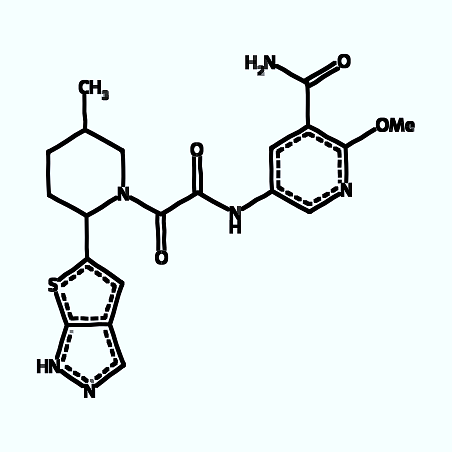 COc1ncc(NC(=O)C(=O)N2CC(C)CCC2c2cc3cn[nH]c3s2)cc1C(N)=O